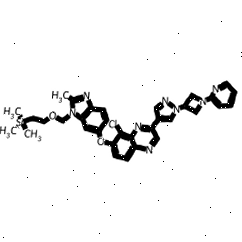 Cc1nc2ccc(Oc3ccc4ncc(-c5cnn(C6CN(c7ccccn7)C6)c5)nc4c3Cl)cc2n1COCC[Si](C)(C)C